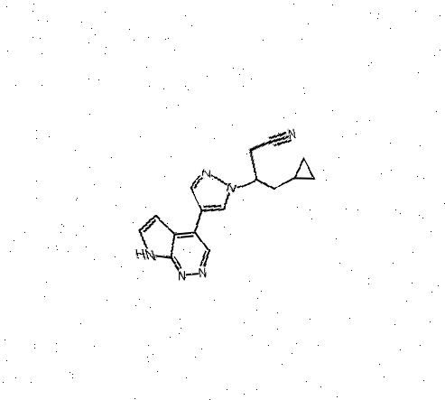 N#CCC(CC1CC1)n1cc(-c2cnnc3[nH]ccc23)cn1